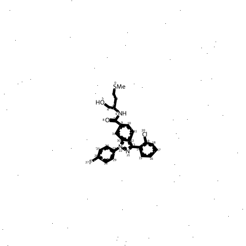 CSCCC(CO)NC(=O)c1ccc2c(-c3ccccc3Cl)nn(-c3ccc(F)cc3)c2c1